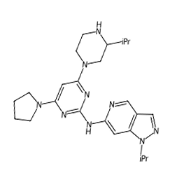 CC(C)C1CN(c2cc(N3CCCC3)nc(Nc3cc4c(cn3)cnn4C(C)C)n2)CCN1